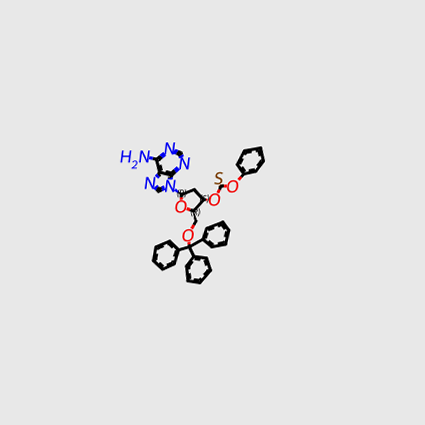 Nc1ncnc2c1ncn2[C@H]1C[C@H](OC(=S)Oc2ccccc2)[C@@H](COC(c2ccccc2)(c2ccccc2)c2ccccc2)O1